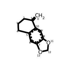 C=C1CCCc2cc3c(cc21)OCO3